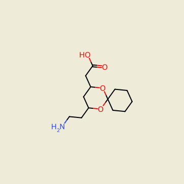 NCCC1CC(CC(=O)O)OC2(CCCCC2)O1